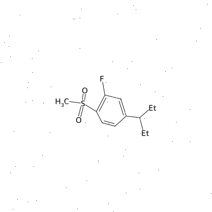 CCC(CC)c1ccc(S(C)(=O)=O)c(F)c1